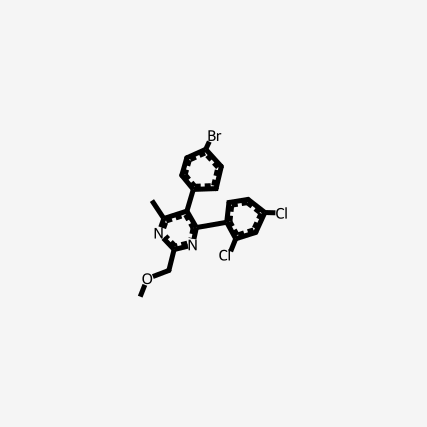 COCc1nc(C)c(-c2ccc(Br)cc2)c(-c2ccc(Cl)cc2Cl)n1